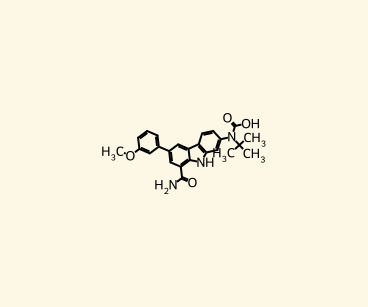 COc1cccc(-c2cc(C(N)=O)c3[nH]c4cc(N(C(=O)O)C(C)(C)C)ccc4c3c2)c1